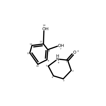 O=C1CCCCN1.Oc1ccccc1O